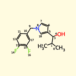 CC(C)C(O)c1ccn(Cc2ccc(F)c(F)c2)c1